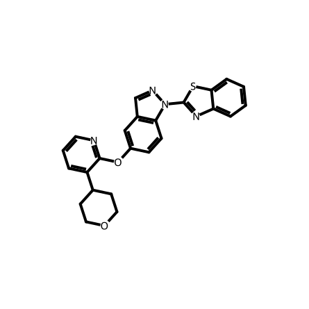 c1cnc(Oc2ccc3c(cnn3-c3nc4ccccc4s3)c2)c(C2CCOCC2)c1